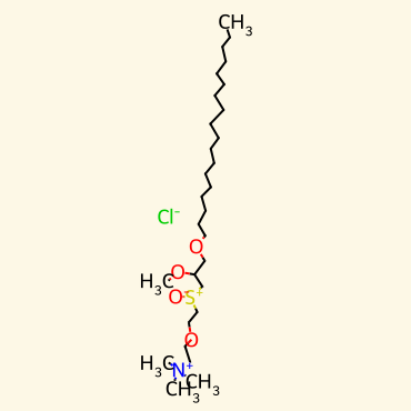 CCCCCCCCCCCCCCCCCCOCC(C[S+]([O-])CCOCC[N+](C)(C)C)OC.[Cl-]